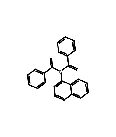 C=C(c1ccccc1)N(C(=C)c1ccccc1)c1cccc2ccccc12